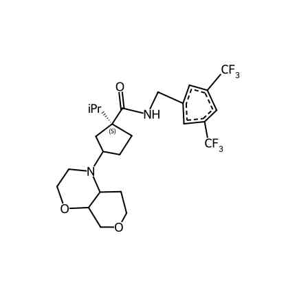 CC(C)[C@]1(C(=O)NCc2cc(C(F)(F)F)cc(C(F)(F)F)c2)CCC(N2CCOC3COCCC32)C1